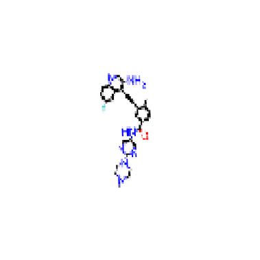 Cc1ccc(C(=O)Nc2cnc(N3CCN(C)CC3)nc2)cc1C#Cc1c(N)cnc2ccc(F)cc12